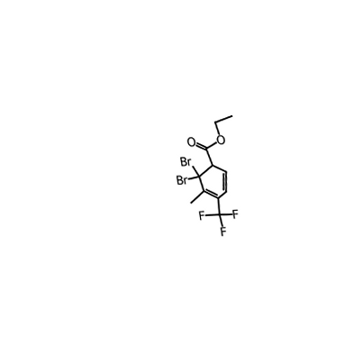 CCOC(=O)C1C=CC(C(F)(F)F)=C(C)C1(Br)Br